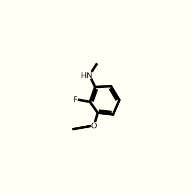 CNc1cccc(OC)c1F